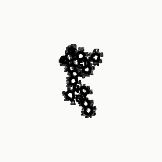 CC1(C)c2cc(N(c3ccccc3)c3cccc4c3oc3cc5ccccc5cc34)ccc2-c2ccc3c(c21)Sc1c(N(c2ccccc2)c2ccccc2)cccc1C31c2ccccc2-c2ccccc21